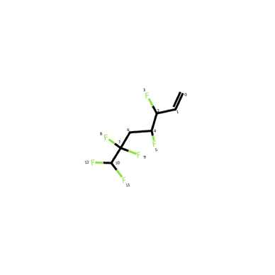 C=CC(F)C(F)CC(F)(F)C(F)F